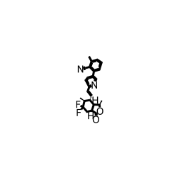 Cc1cccc(-c2ccc(/C=C/[C@@H]3[C@@H]4[C@@H](C)OC(=O)[C@@H]4CC(F)(F)[C@H]3C)nc2)c1C#N